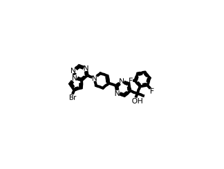 CC(O)(c1cnc(C2=CCN(c3ncnn4cc(Br)cc34)CC2)nc1)c1c(F)cccc1F